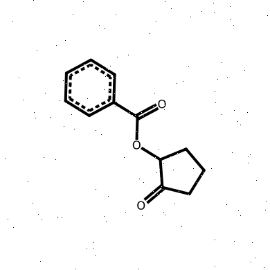 O=C(OC1CCCC1=O)c1ccccc1